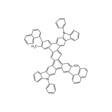 Cc1cc2c(cc1-c1cccc3ccccc13)c1cc3c(cc1c1cc4c5cc(C)c(-c6cccc7ccccc67)cc5c5cc6c(cc5c4cc21)c1ccccc1n6-c1ccccc1)c1ccccc1n3-c1ccccc1